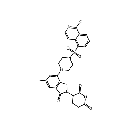 O=C1CCC(N2Cc3c(cc(F)cc3N3CCN(S(=O)(=O)c4cccc5c(Cl)nccc45)CC3)C2=O)C(=O)N1